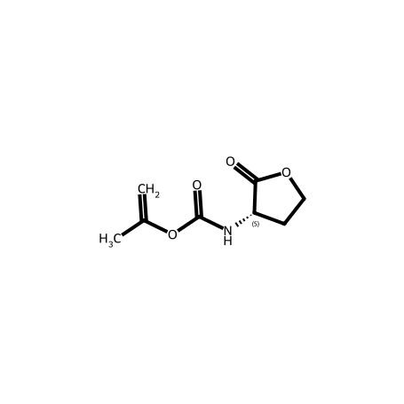 C=C(C)OC(=O)N[C@H]1CCOC1=O